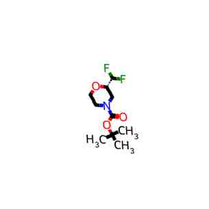 CC(C)(C)OC(=O)N1CCO[C@H](C(F)F)C1